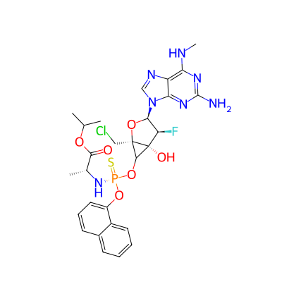 CNc1nc(N)nc2c1ncn2[C@@H]1O[C@]2(CCl)C(O[P@@](=S)(N[C@H](C)C(=O)OC(C)C)Oc3cccc4ccccc34)[C@]2(O)[C@@H]1F